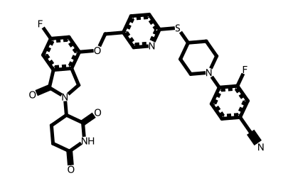 N#Cc1ccc(N2CCC(Sc3ccc(COc4cc(F)cc5c4CN(C4CCC(=O)NC4=O)C5=O)cn3)CC2)c(F)c1